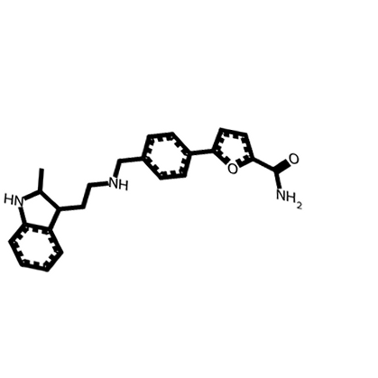 CC1Nc2ccccc2C1CCNCc1ccc(-c2ccc(C(N)=O)o2)cc1